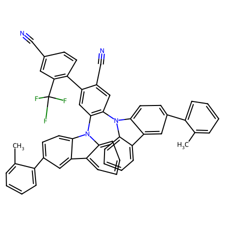 Cc1ccccc1-c1ccc2c(c1)c1ccccc1n2-c1cc(C#N)c(-c2ccc(C#N)cc2C(F)(F)F)cc1-n1c2ccccc2c2cc(-c3ccccc3C)ccc21